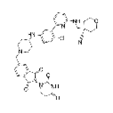 N#CC1(CNc2cccc(-c3cc(NC4CCN(Cc5ccc6c(c5)C(=O)N(N5CCC(=O)NC5=O)C6=O)CC4)ncc3Cl)n2)CCOCC1